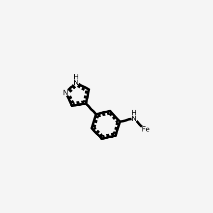 [Fe][NH]c1cccc(-c2cn[nH]c2)c1